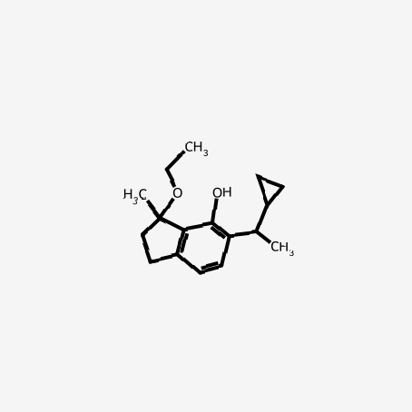 CCOC1(C)CCc2ccc(C(C)C3CC3)c(O)c21